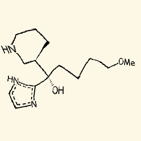 COCCCC[C@@](O)(c1ncc[nH]1)[C@@H]1CCCNC1